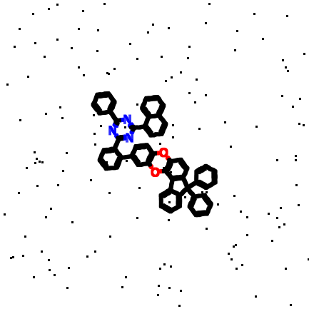 c1ccc(-c2nc(-c3ccccc3-c3ccc4c(c3)Oc3c(ccc5c3-c3ccccc3C5(c3ccccc3)c3ccccc3)O4)nc(-c3cccc4ccccc34)n2)cc1